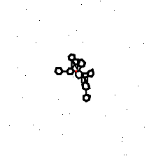 C1=C(c2cccc3c4ccccc4n(-c4cccc(-c5ccccc5)c4)c23)c2c(n(-c3ccc(-c4ccccc4)cc3)c3ccccc23)CC1